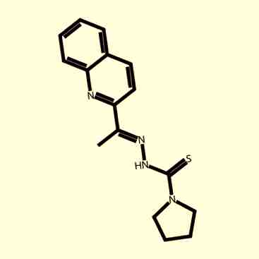 CC(=NNC(=S)N1CCCC1)c1ccc2ccccc2n1